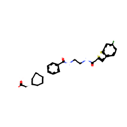 O=C(O)C[C@H]1CC[C@H](c2ccc(C(=O)NCCNC(=O)c3cc4ccc(Cl)cc4s3)cc2)CC1